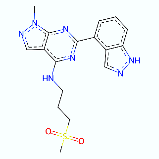 Cn1ncc2c(NCCCS(C)(=O)=O)nc(-c3cccc4[nH]ncc34)nc21